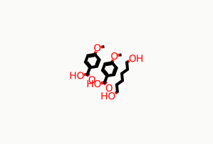 COc1ccc(C(=O)O)cc1.COc1ccc(C(=O)O)cc1.OCCCCCCO